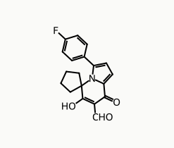 O=CC1=C(O)C2(CCCC2)n2c(ccc2-c2ccc(F)cc2)C1=O